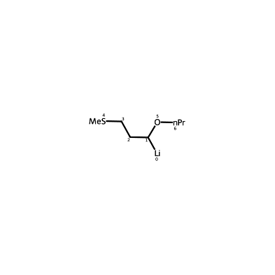 [Li][CH](CCSC)OCCC